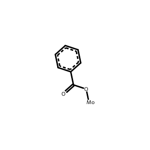 O=C([O][Mo])c1ccccc1